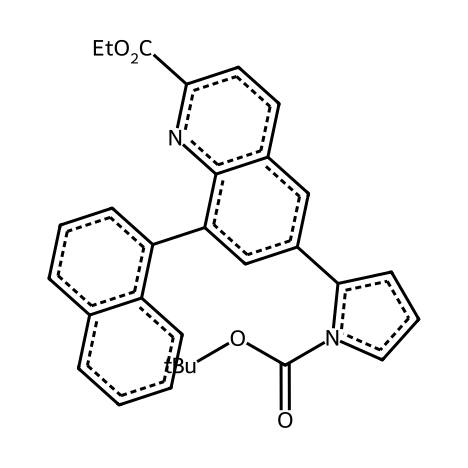 CCOC(=O)c1ccc2cc(-c3cccn3C(=O)OC(C)(C)C)cc(-c3cccc4ccccc34)c2n1